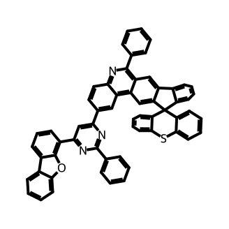 c1ccc(-c2nc(-c3ccc4nc(-c5ccccc5)c5cc6c(cc5c4c3)C3(c4ccccc4Sc4ccccc43)c3ccccc3-6)cc(-c3cccc4c3oc3ccccc34)n2)cc1